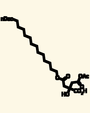 CCCCCCCCCCCCCCCCCCCCCCCOC(=O)CC(O)(CC(=O)OC(C)=O)C(=O)O